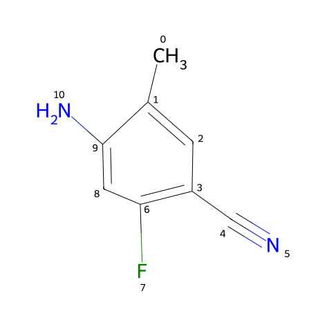 Cc1cc(C#N)c(F)cc1N